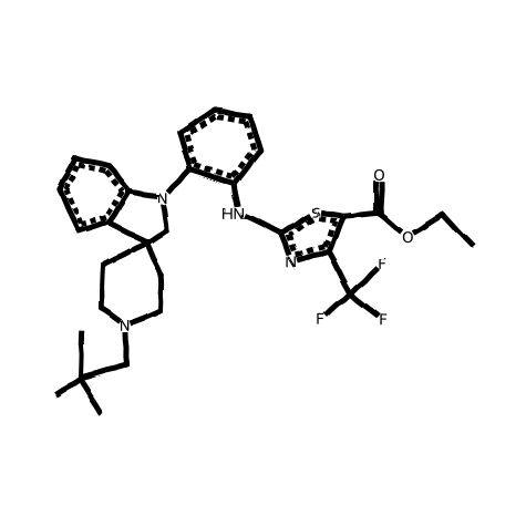 CCOC(=O)c1sc(Nc2ccccc2N2CC3(CCN(CC(C)(C)C)CC3)c3ccccc32)nc1C(F)(F)F